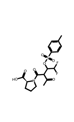 CC(=O)C(C(=O)N1CCC[C@H]1C(=O)O)C(OS(=O)(=O)c1ccc(C)cc1)C(F)F